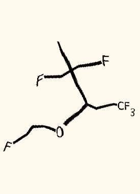 CC(F)(F)C(OCF)C(F)(F)F